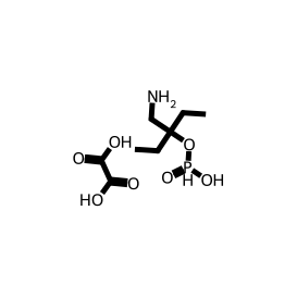 CCC(CC)(CN)O[PH](=O)O.O=C(O)C(=O)O